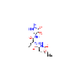 CC(C)CC(NC(=O)OCC(C)(C)C)C(=O)NC(CC(C)C)C(=O)NC1CNNC(=O)C1=O